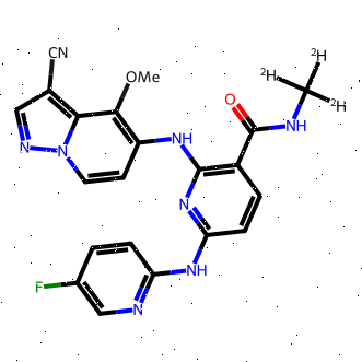 [2H]C([2H])([2H])NC(=O)c1ccc(Nc2ccc(F)cn2)nc1Nc1ccn2ncc(C#N)c2c1OC